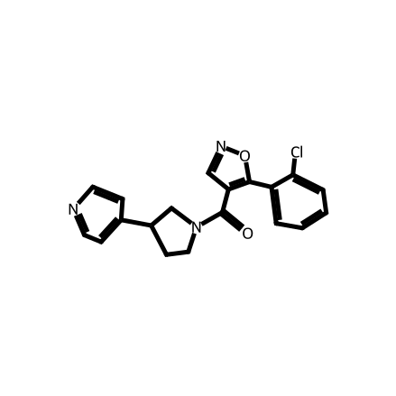 O=C(c1cnoc1-c1ccccc1Cl)N1CCC(c2ccncc2)C1